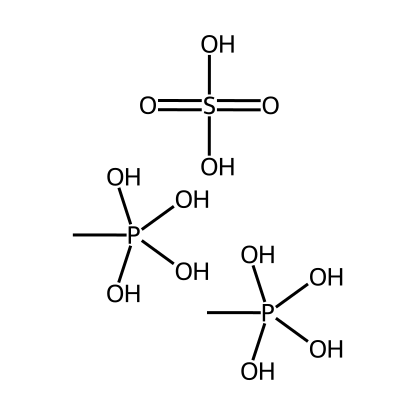 CP(O)(O)(O)O.CP(O)(O)(O)O.O=S(=O)(O)O